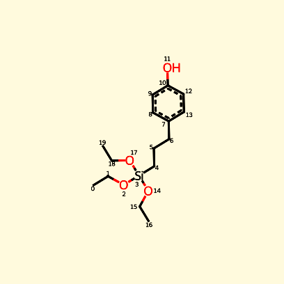 CCO[Si](CCCc1ccc(O)cc1)(OCC)OCC